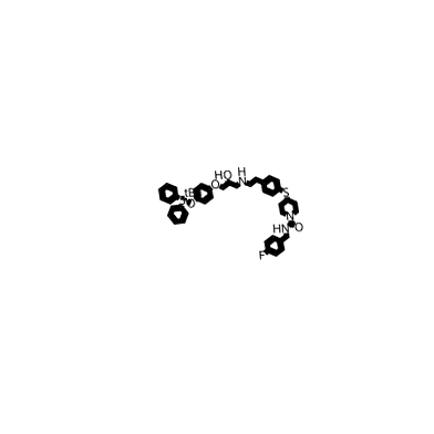 CC(C)(C)[Si](Oc1ccc(OC[C@@H](O)CNCCc2ccc(SC3CCN(C(=O)NCc4ccc(F)cc4)CC3)cc2)cc1)(c1ccccc1)c1ccccc1